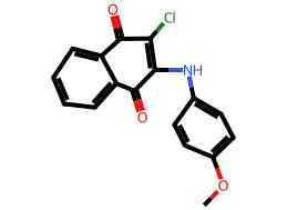 COc1ccc(NC2=C(Cl)C(=O)c3ccccc3C2=O)cc1